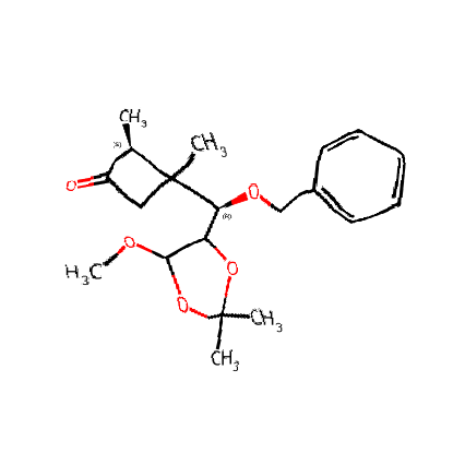 COC1OC(C)(C)OC1[C@H](OCc1ccccc1)C1(C)CC(=O)[C@H]1C